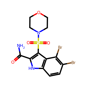 NC(=O)c1[nH]c2ccc(Br)c(Br)c2c1S(=O)(=O)N1CCOCC1